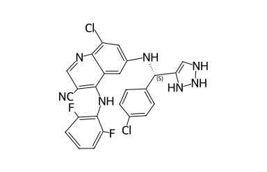 N#Cc1cnc2c(Cl)cc(N[C@H](C3=CNNN3)c3ccc(Cl)cc3)cc2c1Nc1c(F)cccc1F